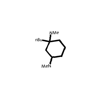 CCCCC1(NC)CCCC(NC)C1